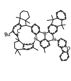 Cc1cc2c3c(c1)N1c4cc5c(cc4C)C(C)(C)CCC5(C)c4cc5c(cc4C(C)(C)C)C4(C)CCCCC4(C)C5c4ccc(c1c4)B3c1cc3c(cc1N2c1ccc2oc4ccccc4c2c1)C(C)(C)c1ccccc1C3(C)C